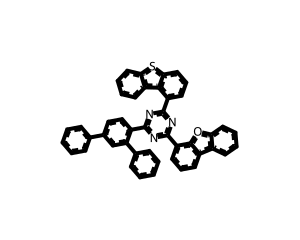 c1ccc(-c2ccc(-c3nc(-c4cccc5c4oc4ccccc45)nc(-c4cccc5sc6ccccc6c45)n3)c(-c3ccccc3)c2)cc1